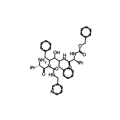 CC(C)[C@H](N)C(=O)N(C(=O)NCc1cccnc1)C(Cc1ccccc1)C(O)C(Cc1ccccc1)NC(=O)[C@@H](NC(=O)OCc1ccccc1)C(C)C